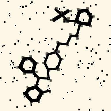 Cc1ccccc1C(OC1CCN(CCCOc2ccccc2NS(C)(=O)=O)CC1)c1ccccc1